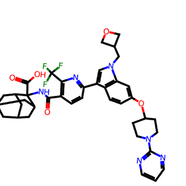 O=C(NC1(C(=O)O)C2CC3CC(C2)CC1C3)c1ccc(-c2cn(CC3COC3)c3cc(OC4CCN(c5ncccn5)CC4)ccc23)nc1C(F)(F)F